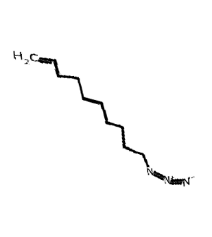 C=CCCCCCCCCN=[N+]=[N-]